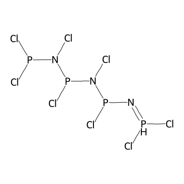 ClN(P(Cl)Cl)P(Cl)N(Cl)P(Cl)N=[PH](Cl)Cl